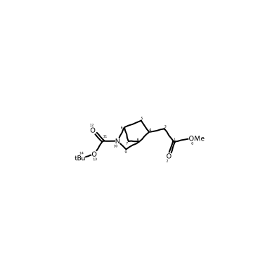 COC(=O)CC1CC2CC1CN2C(=O)OC(C)(C)C